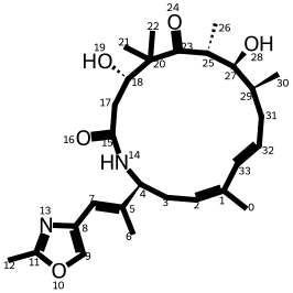 CC1=C/C[C@@H](/C(C)=C/c2coc(C)n2)NC(=O)C[C@H](O)C(C)(C)C(=O)[C@H](C)[C@@H](O)[C@@H](C)C\C=C\1